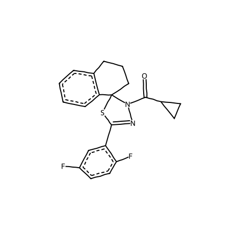 O=C(C1CC1)N1N=C(c2cc(F)ccc2F)SC12CCCc1ccccc12